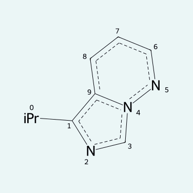 CC(C)c1ncn2ncccc12